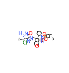 NC(=O)c1c(CC(Cl)C2CC2)ncn1Cc1c2ccocc-2c(Br)c1-c1ccccc1NS(=O)(=O)C(F)(F)F